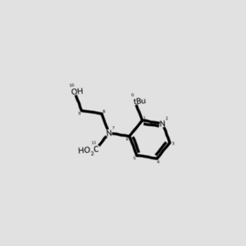 CC(C)(C)c1ncccc1N(CCO)C(=O)O